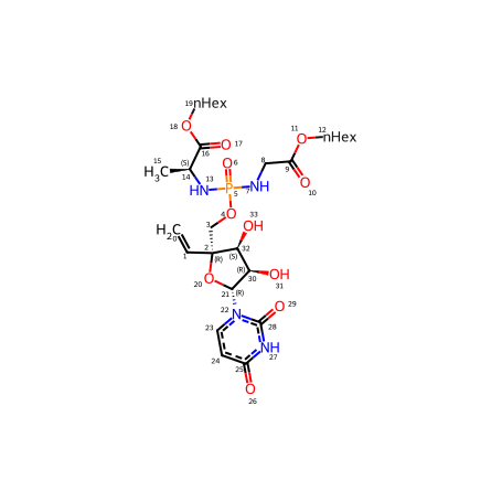 C=C[C@]1(COP(=O)(NCC(=O)OCCCCCC)N[C@@H](C)C(=O)OCCCCCC)O[C@@H](n2ccc(=O)[nH]c2=O)[C@H](O)[C@@H]1O